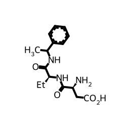 CC[C@H](NC(=O)[C@@H](N)CC(=O)O)C(=O)NC(C)c1ccccc1